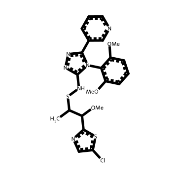 COc1cccc(OC)c1-n1c(NSC(C)C(OC)c2ncc(Cl)s2)nnc1-c1cccnc1